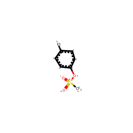 CCc1ccc(OS(=O)(=O)C(F)(F)F)cc1